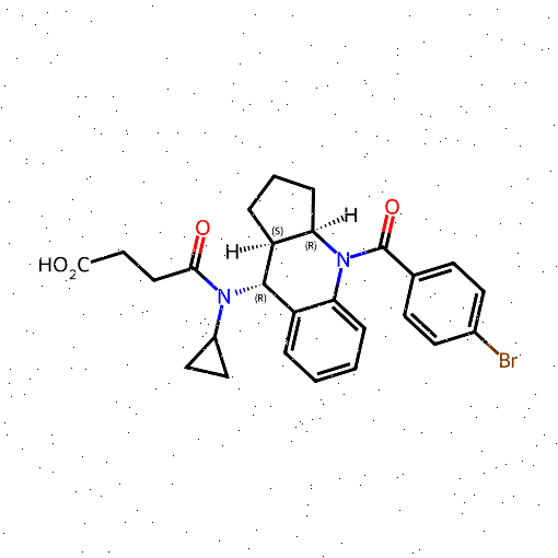 O=C(O)CCC(=O)N(C1CC1)[C@H]1c2ccccc2N(C(=O)c2ccc(Br)cc2)[C@@H]2CCC[C@@H]21